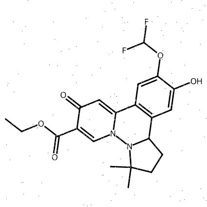 CCOC(=O)c1cn2c(cc1=O)-c1cc(OC(F)F)c(O)cc1C1CCC(C)(C)N12